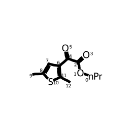 CCCOC(=O)C(=O)c1cc(C)sc1C